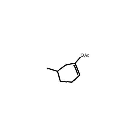 CC(=O)OC1=CCCC(C)C1